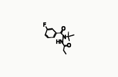 CCC(=O)NN(C(=O)c1cccc(F)c1)C(C)(C)C